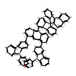 c1ccc(-n2c3ccccc3c3cc(-c4cccc5c(-c6cccc7c6-c6ccccc6C76c7ccccc7-c7c6ccc6ccccc76)c6cccc(-c7ccc8c(c7)c7ccccc7n8-c7ccccc7)c6cc45)ccc32)cc1